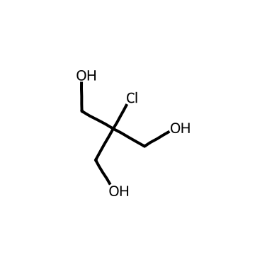 OCC(Cl)(CO)CO